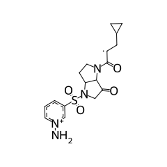 N[n+]1cccc(S(=O)(=O)N2CC(=O)C3C2CCN3C(=O)[CH]CC2CC2)c1